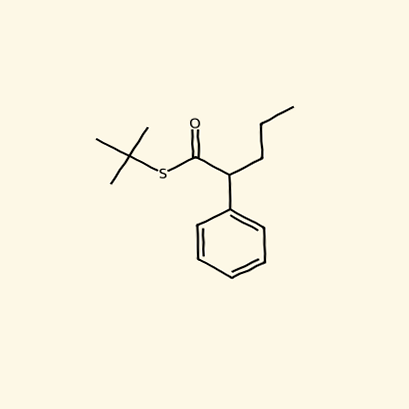 CCCC(C(=O)SC(C)(C)C)c1ccccc1